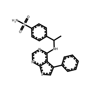 CC(Nc1ncnc2scc(-c3ccccc3)c12)c1ccc(S(N)(=O)=O)cc1